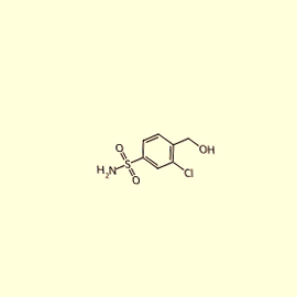 NS(=O)(=O)c1ccc(CO)c(Cl)c1